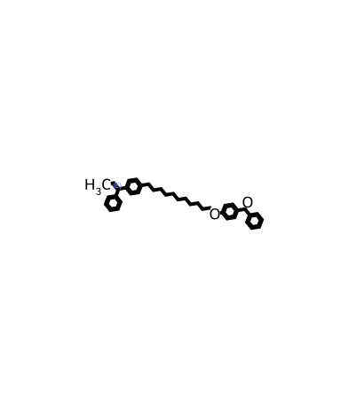 C/C=C(\c1ccccc1)c1ccc(CCCCCCCCCCCOc2ccc(C(=O)c3ccccc3)cc2)cc1